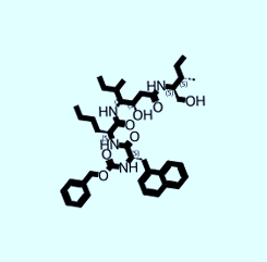 CCCC[C@H](NC(=O)[C@H](Cc1cccc2ccccc12)NC(=O)OCc1ccccc1)C(=O)N[C@@H](C(C)CC)[C@@H](O)CC(=O)N[C@H](CO)[C@@H](C)CC